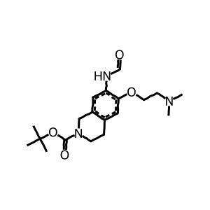 CN(C)CCOc1cc2c(cc1NC=O)CN(C(=O)OC(C)(C)C)CC2